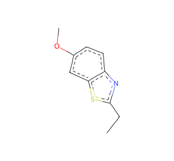 CCc1nc2ccc(OC)cc2s1